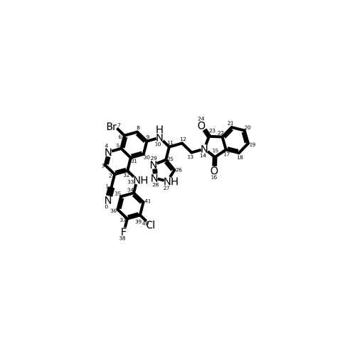 N#Cc1cnc2c(Br)cc(NC(CCN3C(=O)c4ccccc4C3=O)c3c[nH]nn3)cc2c1Nc1ccc(F)c(Cl)c1